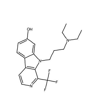 CCN(CC)CCCn1c2cc(O)ccc2c2ccnc(C(F)(F)F)c21